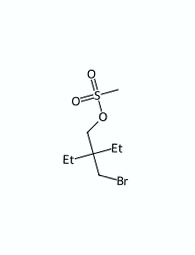 CCC(CC)(CBr)COS(C)(=O)=O